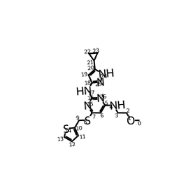 COCCNc1cc(SCc2cccs2)nc(Nc2cc(C3CC3)[nH]n2)n1